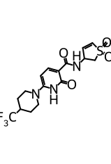 O=C(NC1C=CS(=O)(=O)C1)c1ccc(N2CCC(C(F)(F)F)CC2)[nH]c1=O